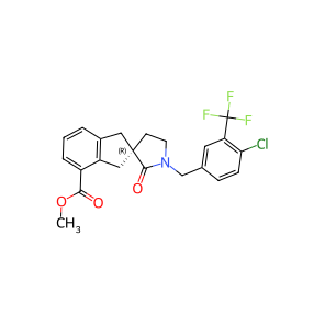 COC(=O)c1cccc2c1C[C@@]1(CCN(Cc3ccc(Cl)c(C(F)(F)F)c3)C1=O)C2